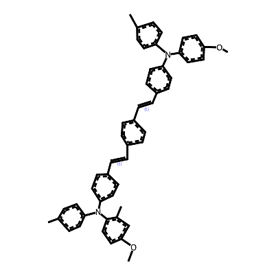 COc1ccc(N(c2ccc(C)cc2)c2ccc(/C=C/c3ccc(/C=C/c4ccc(N(c5ccc(C)cc5)c5ccc(OC)cc5C)cc4)cc3)cc2)cc1